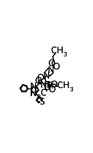 CCCCOC(=O)N1CCN(C(=O)C(CP(=O)(OCC)OCC)NC(=O)c2cc(-c3ccsc3)nc(-c3ccccc3)n2)CC1